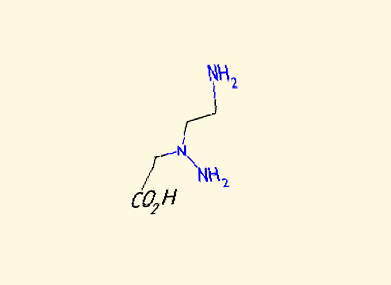 NCCN(N)CC(=O)O